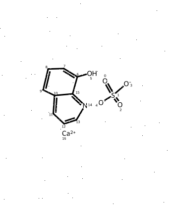 O=S(=O)([O-])[O-].Oc1cccc2cccnc12.[Ca+2]